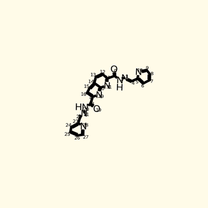 O=C(NN=Cc1ccccn1)c1ccc2ccc(C(=O)NN=Cc3ccccn3)nc2n1